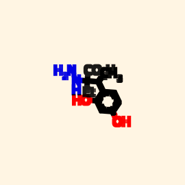 CCC(NN)(C(=O)O)C(C)c1ccc(O)cc1O